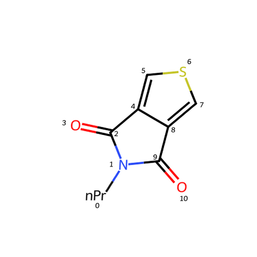 CCCN1C(=O)c2cscc2C1=O